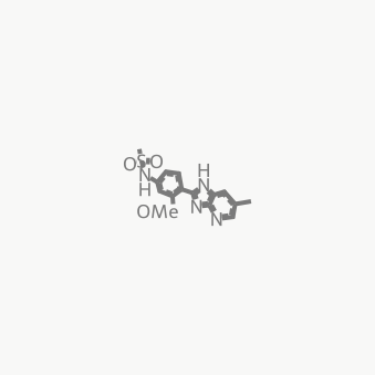 COc1cc(NS(C)(=O)=O)ccc1-c1nc2ncc(C)cc2[nH]1